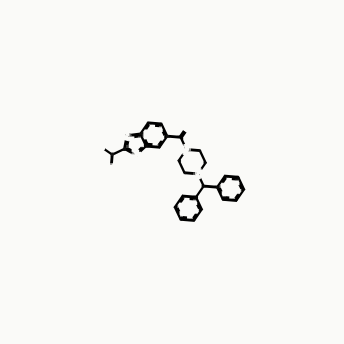 O=C(c1ccc2[nH]c(C(F)F)nc2c1)N1CCN(C(c2ccccc2)c2ccccc2)CC1